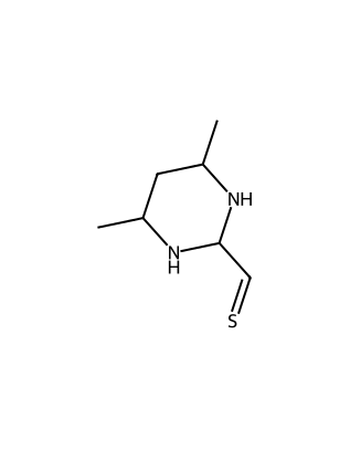 CC1CC(C)NC(C=S)N1